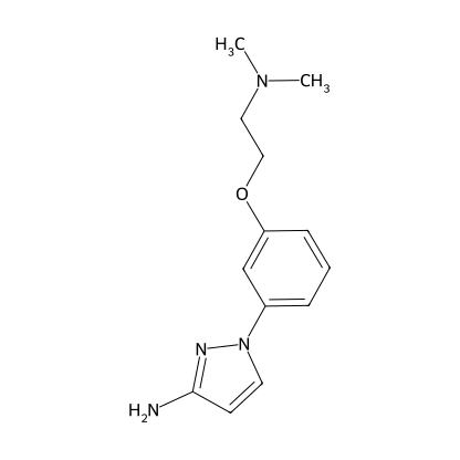 CN(C)CCOc1cccc(-n2ccc(N)n2)c1